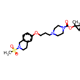 CC1(OC(=O)N2CCN(CCCOc3ccc4c(c3)CCN(S(C)(=O)=O)C4)CC2)CC1